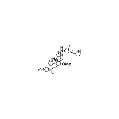 COc1cc(CCC(=O)N2CCN(C(C)C)CC2)ccc1Oc1nc(Nc2ccc(OCC3CCCN(C)C3)c(F)c2)ncc1C(=O)Nc1c(C)cccc1C